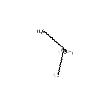 CCCCCCCCCCCCCCCCCCCCOCC(CN(C)C)OCCCCCCCCCCCCCCCCCCCC